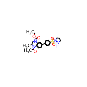 CCOC(=O)N1C[C@H](C)N(C(C)=O)c2ccc(-c3ccc(S(=O)(=O)N4CCCN4)cc3)cc21